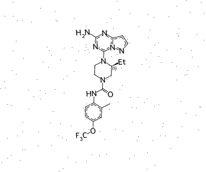 CC[C@H]1CN(C(=O)Nc2ccc(OC(F)(F)F)cc2C)CCN1c1nc(N)nc2ccnn12